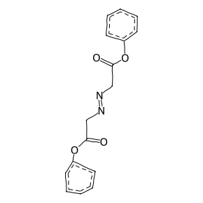 O=C(CN=NCC(=O)Oc1ccccc1)Oc1ccccc1